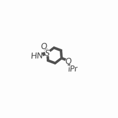 CC(C)OC1CCS(=N)(=O)CC1